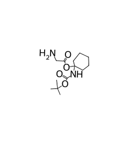 CC(C)(C)OC(=O)NC1(OC(=O)CN)CCCCC1